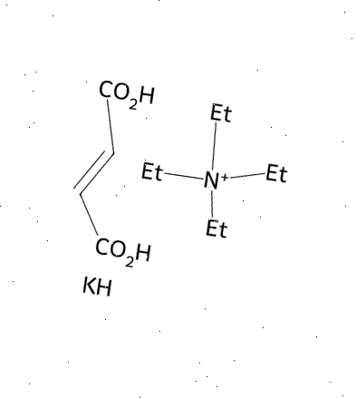 CC[N+](CC)(CC)CC.O=C(O)/C=C/C(=O)O.[KH]